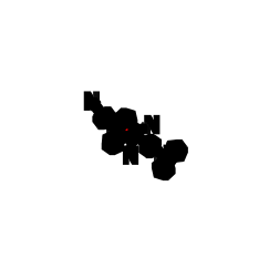 Cc1cc(C#N)c(-c2ccc(-n3c4ccccc4c4ccccc43)cc2)c(C#N)c1-c1ccccc1-n1c2ccccc2c2cc(C#N)ccc21